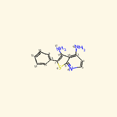 Nc1ccnc2sc(-c3ccccc3)c(N)c12